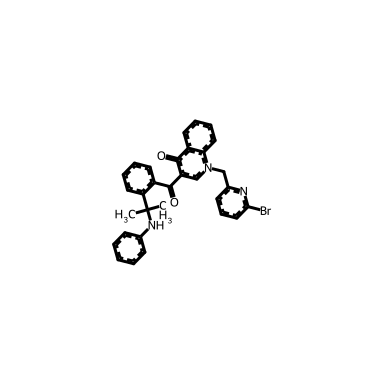 CC(C)(Nc1ccccc1)c1ccccc1C(=O)c1cn(Cc2cccc(Br)n2)c2ccccc2c1=O